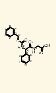 O=C(O)CNC(=O)[C@H](NC(=O)OCc1ccccc1)c1ccccc1